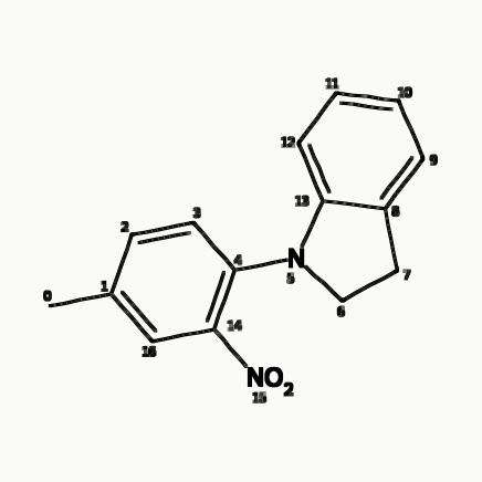 Cc1ccc(N2CCc3ccccc32)c([N+](=O)[O-])c1